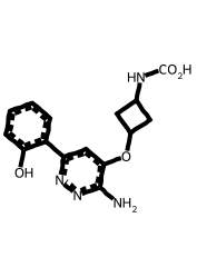 Nc1nnc(-c2ccccc2O)cc1OC1CC(NC(=O)O)C1